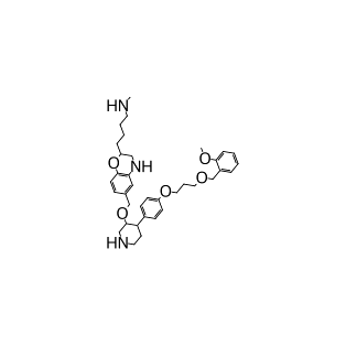 CNCCCCC1CNc2cc(COC3CNCCC3c3ccc(OCCCOCc4ccccc4OC)cc3)ccc2O1